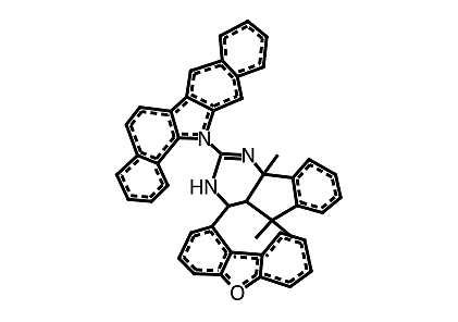 CC1(C)c2ccccc2C2(C)N=C(n3c4cc5ccccc5cc4c4ccc5ccccc5c43)NC(c3cccc4oc5ccccc5c34)C12